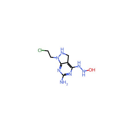 Nc1nc(NNO)c2c(n1)N(CCCl)NC2